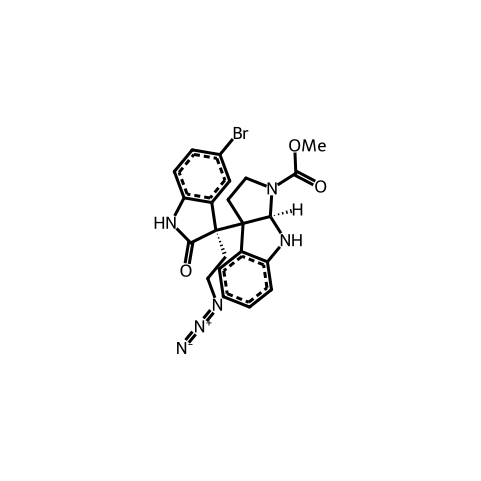 COC(=O)N1CCC2([C@@]3(CCN=[N+]=[N-])C(=O)Nc4ccc(Br)cc43)c3ccccc3N[C@H]12